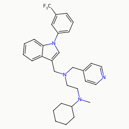 CN(CCN(Cc1ccncc1)Cc1cn(-c2cccc(C(F)(F)F)c2)c2ccccc12)C1CCCCC1